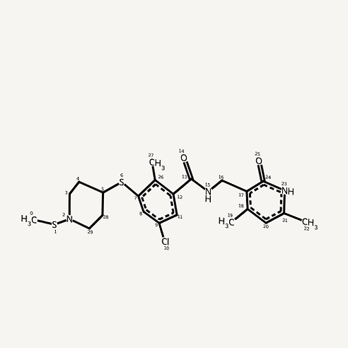 CSN1CCC(Sc2cc(Cl)cc(C(=O)NCc3c(C)cc(C)[nH]c3=O)c2C)CC1